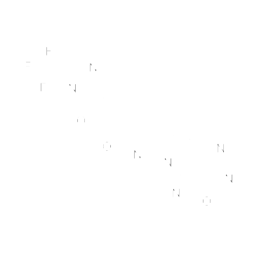 COc1cc(Cn2c(=O)ccc3c(C)nc(-c4c(OC)ncnc4C4CC4)nc32)ccc1-c1nc(C(F)(F)F)cn1C1CC1